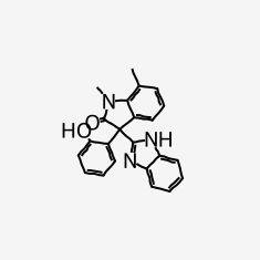 Cc1cccc2c1N(C)C(=O)C2(c1nc2ccccc2[nH]1)c1ccccc1O